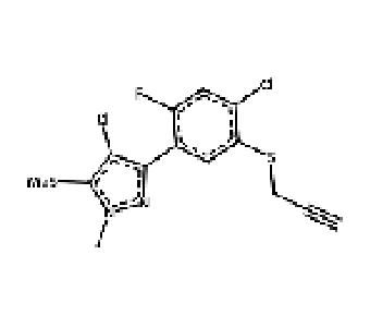 C#CCSc1cc(-c2nn(C)c(SC)c2Cl)c(F)cc1Cl